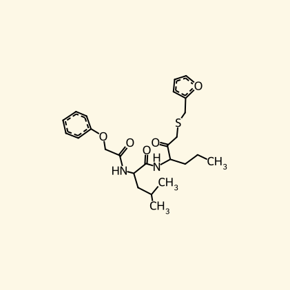 CCCC(NC(=O)C(CC(C)C)NC(=O)COc1ccccc1)C(=O)CSCc1ccco1